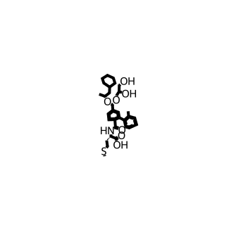 CSCC[C@H](NC(=O)c1ccc(C(OCC(O)CO)OC(C)CC2CCCCC2)cc1-c1ccccc1C)C(=O)O